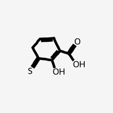 O=C(O)C1=C(O)C(=S)CC=C1